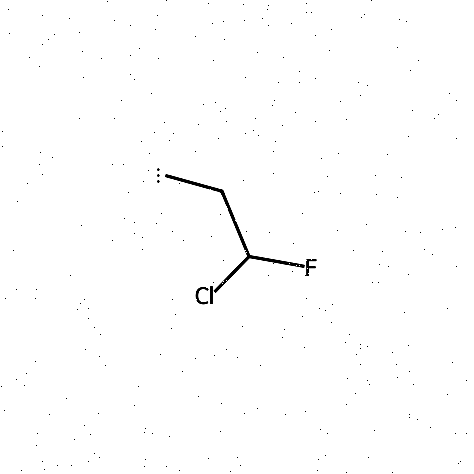 [C]CC(F)Cl